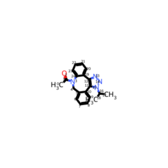 CC(=O)N1Cc2ccccc2-c2c(nnn2C(C)C)-c2ccccc21